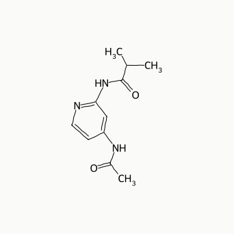 CC(=O)Nc1ccnc(NC(=O)C(C)C)c1